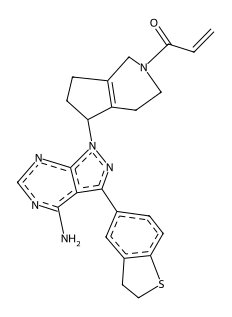 C=CC(=O)N1CCC2=C(CCC2n2nc(-c3ccc4c(c3)CCS4)c3c(N)ncnc32)C1